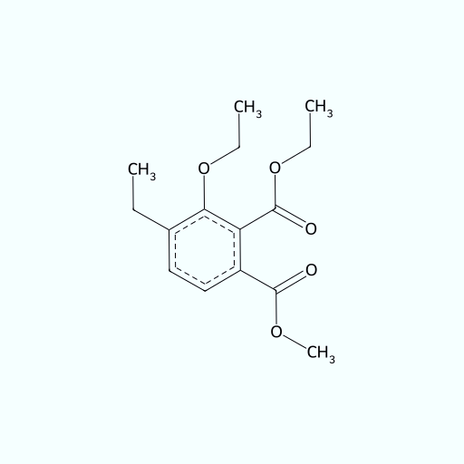 CCOC(=O)c1c(C(=O)OC)ccc(CC)c1OCC